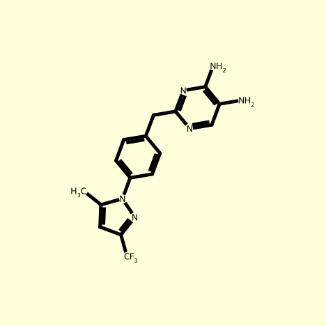 Cc1cc(C(F)(F)F)nn1-c1ccc(Cc2ncc(N)c(N)n2)cc1